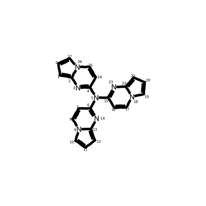 c1cc2nc(N(c3ccn4cccc4n3)c3ccn4cccc4n3)ccn2c1